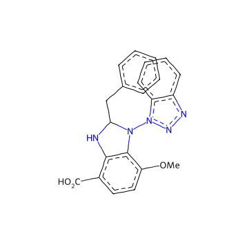 COc1ccc(C(=O)O)c2c1N(n1nnc3ccccc31)C(Cc1ccccc1)N2